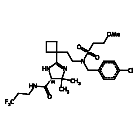 COCCS(=O)(=O)N(CCC1(C2=NC(C)(C)[C@H](C(=O)NCCC(F)(F)F)N2)CCC1)Cc1ccc(Cl)cc1